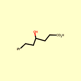 CC(C)CCC(O)CCC(=O)O